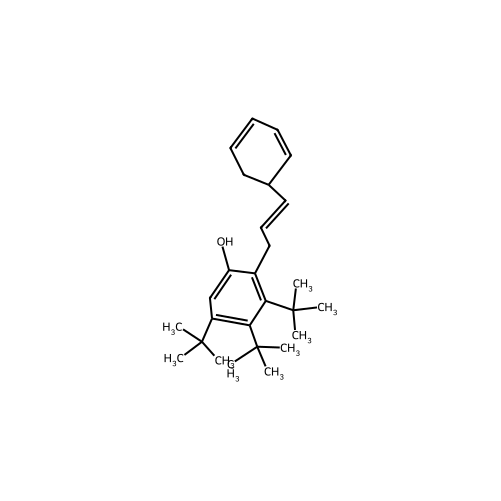 CC(C)(C)c1cc(O)c(CC=CC2C=CC=CC2)c(C(C)(C)C)c1C(C)(C)C